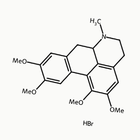 Br.COc1cc2c(cc1OC)-c1c(OC)c(OC)cc3c1C(C2)N(C)CC3